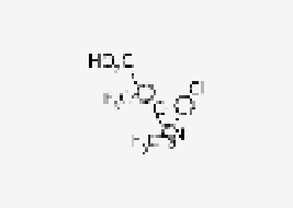 O=C(O)CCc1ccc(OCc2c(-c3ccc(Cl)cc3)nsc2C(F)(F)F)cc1C(F)(F)F